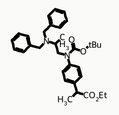 CCOC(=O)C(C)c1ccc(N(CC(C)N(Cc2ccccc2)Cc2ccccc2)C(=O)OC(C)(C)C)cc1